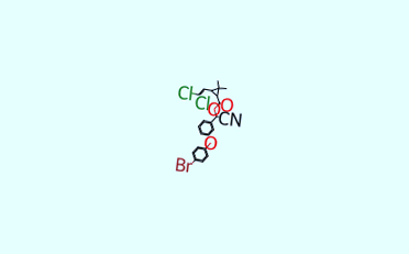 CC1(C)C(C=C(Cl)Cl)C1C(=O)OC(C#N)c1cccc(Oc2ccc(Br)cc2)c1